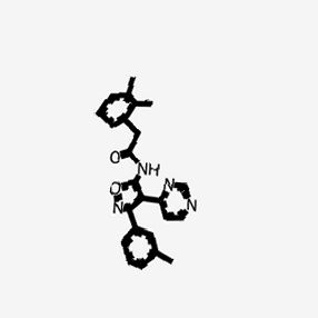 Cc1cccc(-c2noc(NC(=O)Cc3cccc(C)c3C)c2-c2ccncn2)c1